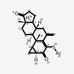 C=C1C[C@H]2[C@@H]3CCC(=O)[C@@]3(C)CC[C@@H]2[C@]2(C)C1=C(SC(C)=O)C(=O)[C@H]1CC12